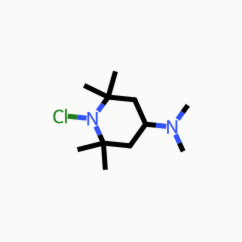 CN(C)C1CC(C)(C)N(Cl)C(C)(C)C1